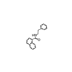 O=C(NCCc1ccccc1)c1cccc2ccccc12